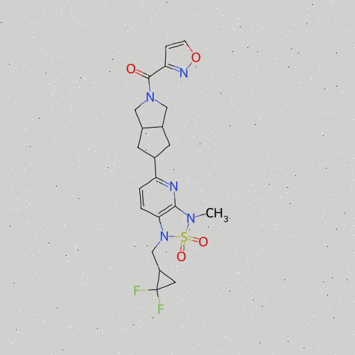 CN1c2nc(C3CC4CN(C(=O)c5ccon5)CC4C3)ccc2N(CC2CC2(F)F)S1(=O)=O